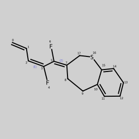 C=C/C=C(F)\C(F)=C1/CCc2ccccc2SC1